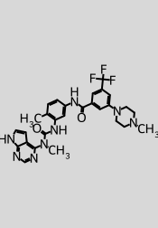 Cc1ccc(NC(=O)c2cc(N3CCN(C)CC3)cc(C(F)(F)F)c2)cc1NC(=O)N(C)c1ncnc2[nH]ccc12